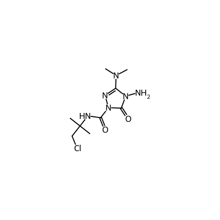 CN(C)c1nn(C(=O)NC(C)(C)CCl)c(=O)n1N